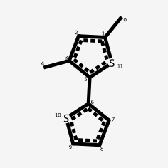 Cc1cc(C)c(-c2cccs2)s1